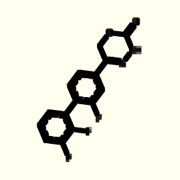 O=C1NN=C(c2ccc(-c3cccc(F)c3F)c(F)c2)CO1